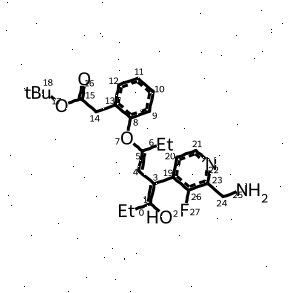 CC/C(O)=C(\C=C(/CC)Oc1ccccc1CC(=O)OC(C)(C)C)c1ccnc(CN)c1F